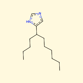 CCCCCCC(CCCC)c1cnc[nH]1